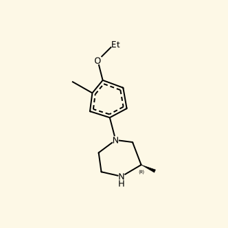 CCOc1ccc(N2CCN[C@H](C)C2)cc1C